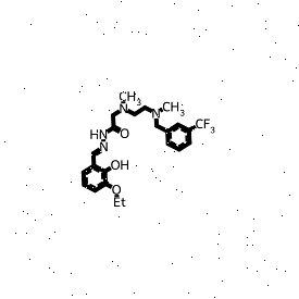 CCOc1cccc(C=NNC(=O)CN(C)CCN(C)Cc2cccc(C(F)(F)F)c2)c1O